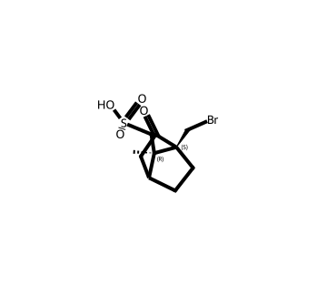 C[C@@]1(CS(=O)(=O)O)C2CC[C@@]1(CBr)C(=O)C2